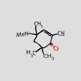 CNC1(C)C=C(C#N)C(=O)C(C)(C)C1